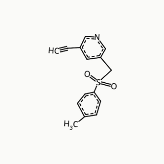 C#Cc1cncc(CS(=O)(=O)c2ccc(C)cc2)c1